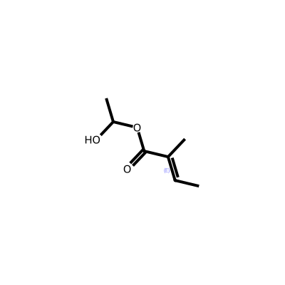 C/C=C(\C)C(=O)OC(C)O